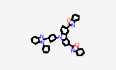 c1ccc(-n2c(-c3ccc(-n4c5ccc(-c6nc7ccccc7o6)cc5c5cc(-c6nc7ccccc7o6)ccc54)cc3)nc3ccccc32)cc1